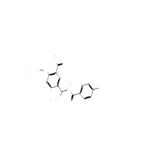 CCCCOC(=O)c1cc(C(C)NC(=O)c2ccc(C(C)(C)C)cc2)ccc1OCCCC